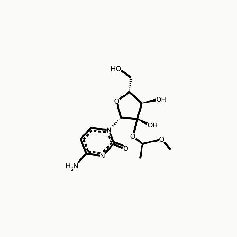 COC(C)O[C@@]1(O)[C@H](O)[C@@H](CO)O[C@H]1n1ccc(N)nc1=O